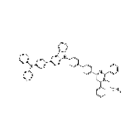 CCCN1C(c2ccccc2)CC(c2ccc(-c3ccc(-n4c5ccccc5c5cc(-c6ccc(N(c7ccccc7)c7ccccc7)cc6)ccc54)cc3)cc2)=NC1c1ccccc1